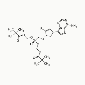 CC(C)(C)C(=O)OCOP(=O)(CO[C@H]1CC(n2cnc3c(N)ncnc32)C=C1F)OCOC(=O)C(C)(C)C